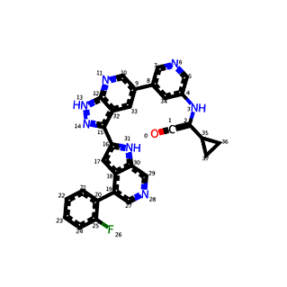 O=C=C(Nc1cncc(-c2cnc3[nH]nc(-c4cc5c(-c6ccccc6F)cncc5[nH]4)c3c2)c1)C1CC1